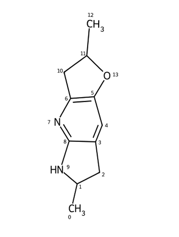 CC1Cc2cc3c(nc2N1)CC(C)O3